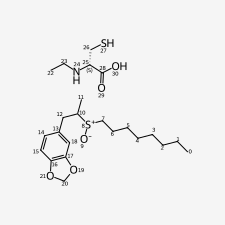 CCCCCCCC[S+]([O-])C(C)Cc1ccc2c(c1)OCO2.CCN[C@H](CS)C(=O)O